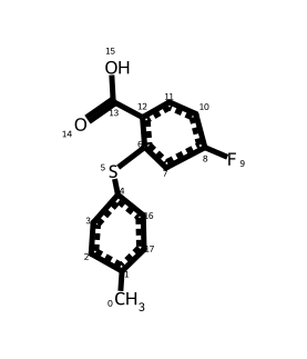 Cc1ccc(Sc2cc(F)ccc2C(=O)O)cc1